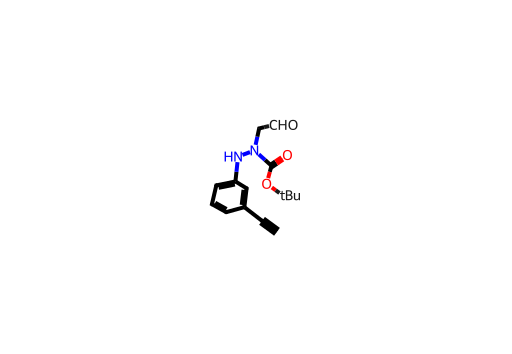 C#Cc1cccc(NN(CC=O)C(=O)OC(C)(C)C)c1